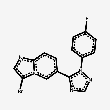 Fc1ccc(-n2ncnc2-c2ccc3ncc(Br)n3c2)cc1